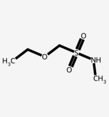 CCOCS(=O)(=O)NC